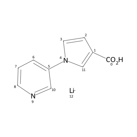 O=C(O)c1ccn(-c2cccnc2)c1.[Li]